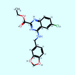 CCOC(=O)c1nc(NCc2ccc3c(c2)OCO3)c2cc(Cl)ccc2n1